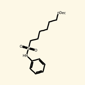 CCCCCCCCCCCCCCCCS(=O)(=O)Nc1[c]cccc1